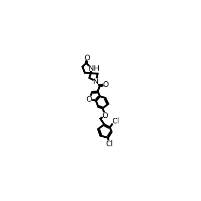 O=C1CCC2(CN(C(=O)c3coc4cc(OCc5ccc(Cl)cc5Cl)ccc34)C2)N1